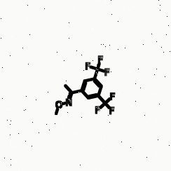 CON=C(C)c1cc(C(F)(F)F)cc(C(F)(F)F)c1